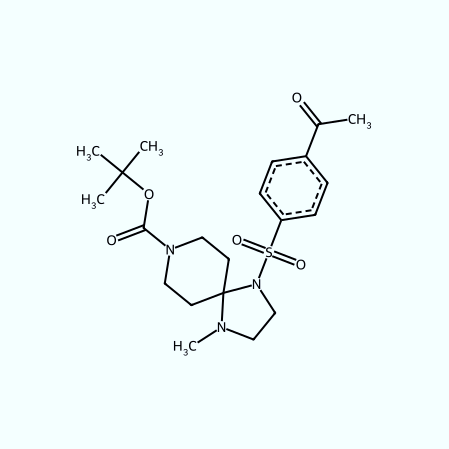 CC(=O)c1ccc(S(=O)(=O)N2CCN(C)C23CCN(C(=O)OC(C)(C)C)CC3)cc1